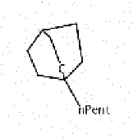 CCCCCC12CC[C](CC1)CC2